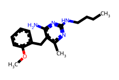 CCCCNc1nc(C)c(Cc2ccccc2OC)c(N)n1